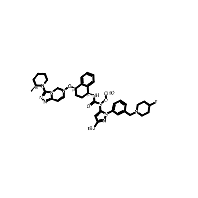 C[C@H]1CCCCN1c1nnc2n1CN(O[C@@H]1CC[C@H](NC(=O)N(OC=O)c3cc(C(C)(C)C)nn3-c3cccc(CN4CCC(F)CC4)c3)c3ccccc31)C=C2